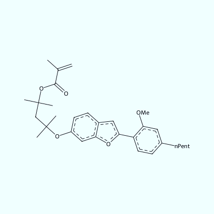 C=C(C)C(=O)OC(C)(C)CC(C)(C)Oc1ccc2cc(-c3ccc(CCCCC)cc3OC)oc2c1